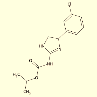 CC(C)OC(=O)NC1=NC(c2cccc(Cl)c2)CN1